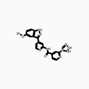 CC(C)Oc1ccc2[nH]nc(-c3ccnc(NC(=O)c4ccnc(N5C=NNN5)c4)c3)c2c1